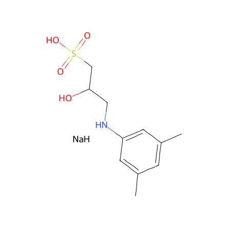 Cc1cc(C)cc(NCC(O)CS(=O)(=O)O)c1.[NaH]